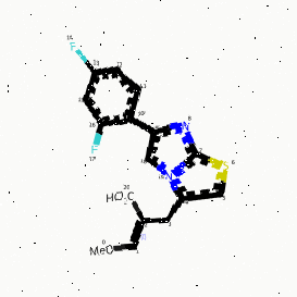 CO/C=C(/Cc1csc2nc(-c3ccc(F)cc3F)cn12)C(=O)O